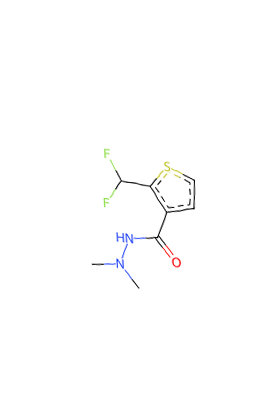 CN(C)NC(=O)c1ccsc1C(F)F